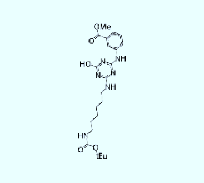 COC(=O)c1cccc(Nc2nc(O)nc(NCCCCCCNC(=O)OC(C)(C)C)n2)c1